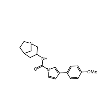 COc1ccc(-c2ccn(C(=O)NC3CC4CCN(C4)C3)c2)cc1